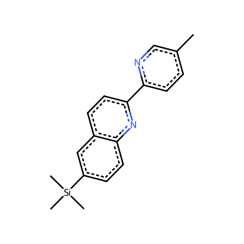 Cc1ccc(-c2ccc3cc([Si](C)(C)C)ccc3n2)nc1